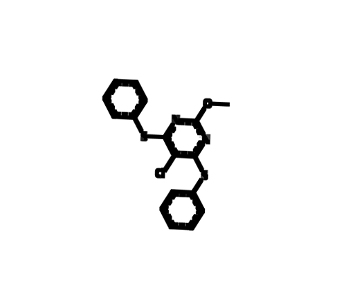 COc1nc(Sc2ccccc2)c(Cl)c(Sc2ccccc2)n1